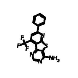 Nc1ncnc2c1sc1nc(-c3ccccc3)cc(C(F)(F)F)c12